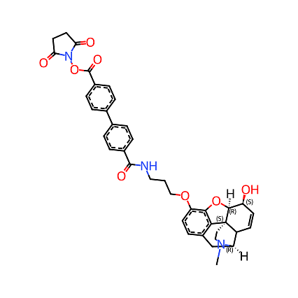 CN1CC[C@]23c4c5ccc(OCCCNC(=O)c6ccc(-c7ccc(C(=O)ON8C(=O)CCC8=O)cc7)cc6)c4O[C@H]2[C@@H](O)C=CC3[C@H]1C5